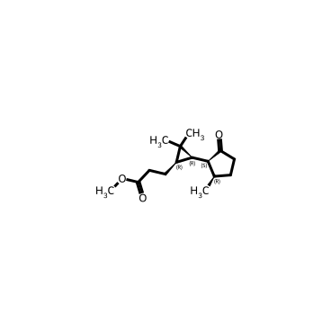 COC(=O)CC[C@@H]1[C@H]([C@H]2C(=O)CC[C@H]2C)C1(C)C